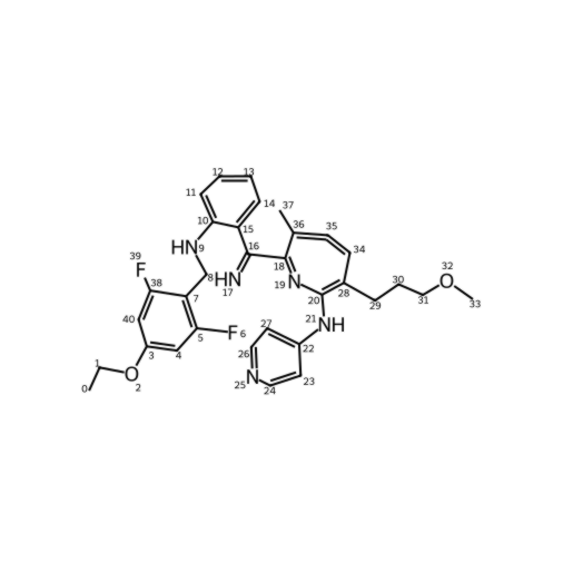 CCOc1cc(F)c(CNc2ccccc2C(=N)C2=NC(Nc3ccncc3)=C(CCCOC)C=C=C2C)c(F)c1